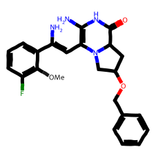 COc1c(F)cccc1/C(N)=C/C1=C(N)NC(=O)C2CC(OCc3ccccc3)CN12